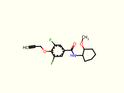 C#CCOc1c(F)cc(C(=O)NC2CCCCC2OC)cc1F